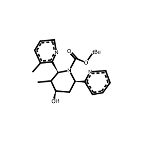 Cc1cccnc1[C@@H]1C(C)[C@H](O)C[C@H](c2ccccn2)N1C(=O)OC(C)(C)C